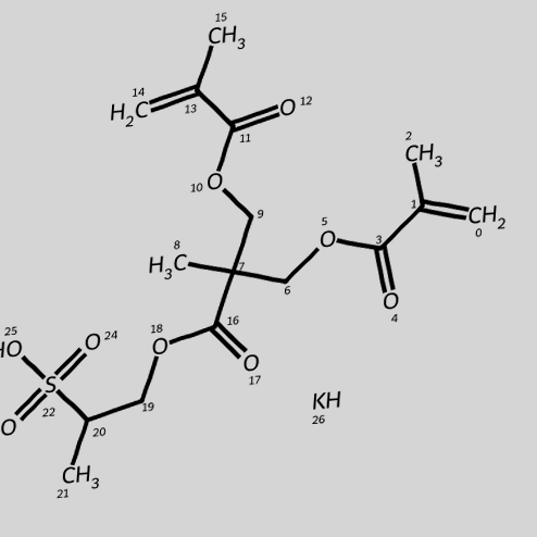 C=C(C)C(=O)OCC(C)(COC(=O)C(=C)C)C(=O)OCC(C)S(=O)(=O)O.[KH]